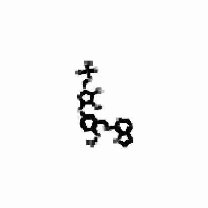 COc1ccc(OC2O[C@H](COP(=O)(O)O)[C@@H](O)[C@H]2O)cc1CNc1ncnc2nc[nH]c12